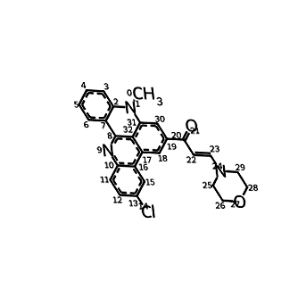 CN1c2ccccc2-c2nc3ccc(Cl)cc3c3cc(C(=O)/C=C/N4CCOCC4)cc1c23